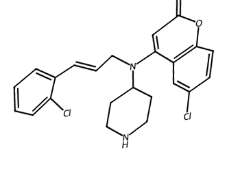 O=c1cc(N(C/C=C/c2ccccc2Cl)C2CCNCC2)c2cc(Cl)ccc2o1